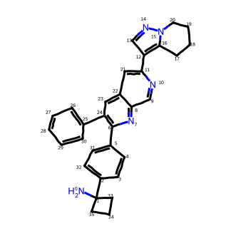 NC1(c2ccc(-c3nc4cnc(-c5cnn6c5CCCC6)cc4cc3-c3ccccc3)cc2)CCC1